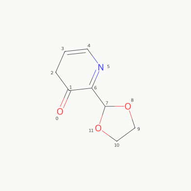 O=C1CC=CN=C1C1OCCO1